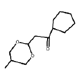 CC1COC(CC(=O)C2CCCCC2)OC1